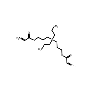 C=CC(=O)OCC[CH2][Zr]([CH2]CC)([CH2]CC)[CH2]CCOC(=O)C=C